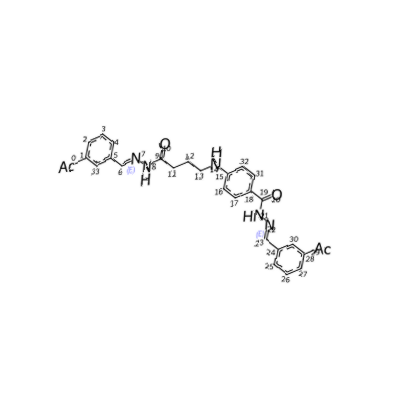 CC(=O)c1cccc(/C=N/NC(=O)CCCNc2ccc(C(=O)N/N=C/c3cccc(C(C)=O)c3)cc2)c1